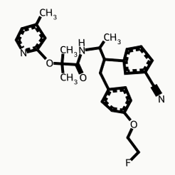 Cc1ccnc(OC(C)(C)C(=O)NC(C)C(Cc2ccc(OCCF)cc2)c2cccc(C#N)c2)c1